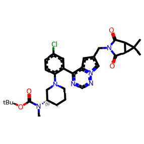 CN(C(=O)OC(C)(C)C)[C@H]1CCCN(c2ccc(Cl)cc2-c2ncnn3cc(CN4C(=O)C5C(C4=O)C5(C)C)cc23)C1